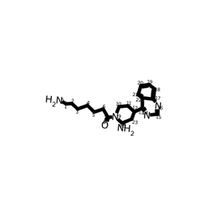 NCCCCCCC(=O)N1CCC(c2ncnc3ccccc23)CC1N